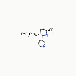 CCOC(=O)C=Cc1ccc(C(F)(F)F)nc1-c1cccnc1